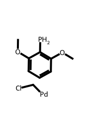 COc1cccc(OC)c1P.Cl[CH2][Pd]